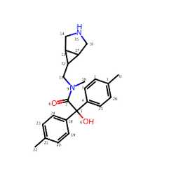 Cc1ccc(C(O)(C(=O)N(C)CC2C3CNCC32)c2ccc(C)cc2)cc1